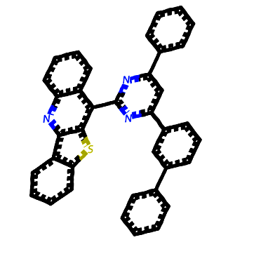 c1ccc(-c2cccc(-c3cc(-c4ccccc4)nc(-c4c5ccccc5nc5c4sc4ccccc45)n3)c2)cc1